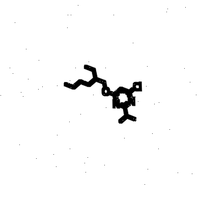 CCCCC(CC)COc1cc(Cl)nc(C(C)C)n1